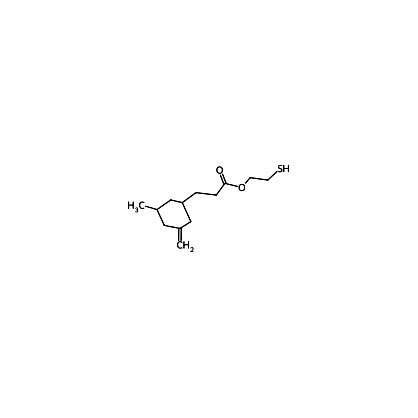 C=C1CC(C)CC(CCC(=O)OCCS)C1